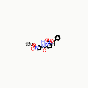 CC(C)(C)OC(=O)N1CC[C@@H](NC(=O)[C@@H]2CC[C@@H]3CN2C(=O)N3OCc2ccccc2)C1